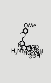 COc1ccc(CCc2cnc3c(N)nc4cc(C(O)(P(=O)(O)O)P(=O)(O)O)ccc4c3c2)c(C)c1